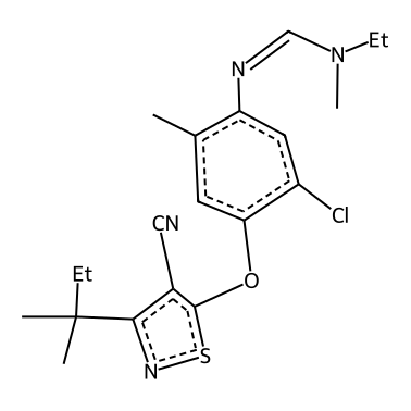 CCN(C)/C=N\c1cc(Cl)c(Oc2snc(C(C)(C)CC)c2C#N)cc1C